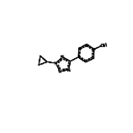 Oc1ccc(-c2nnn(C3CC3)n2)cc1